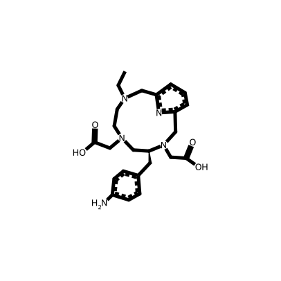 CCN1CCN(CC(=O)O)C[C@H](Cc2ccc(N)cc2)N(CC(=O)O)Cc2cccc(n2)C1